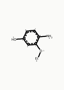 CCOc1cc(O)ccc1N